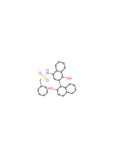 O=S(=O)(Cc1ccccc1)Nc1cc(-c2c(O)ccc3ccccc23)c(O)c2ccccc12